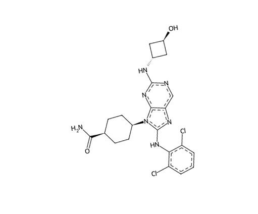 NC(=O)[C@H]1CC[C@@H](n2c(Nc3c(Cl)cccc3Cl)nc3cnc(N[C@H]4C[C@H](O)C4)nc32)CC1